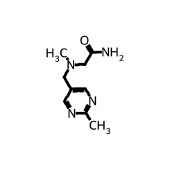 Cc1ncc(CN(C)CC(N)=O)cn1